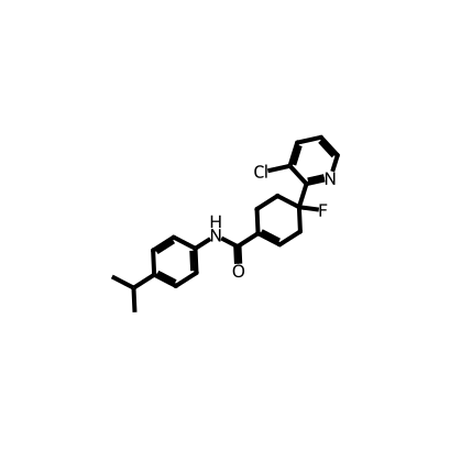 CC(C)c1ccc(NC(=O)C2=CCC(F)(c3ncccc3Cl)CC2)cc1